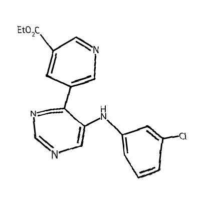 CCOC(=O)c1cncc(-c2ncncc2Nc2cccc(Cl)c2)c1